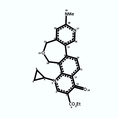 CCOC(=O)c1cn(C2CC2)c2c3c(ccc2c1=O)-c1cnc(NC)cc1COC3